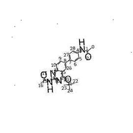 CC(=O)Nc1ccc(-c2ccc3nc(NC(C)=O)nc(OC(C)(C)C)c3c2)cc1